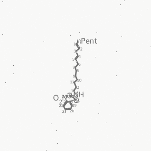 CCCCCC=CCC=CCCCCCCCCNS(=O)(=O)c1ccccc1[N+](=O)[O-]